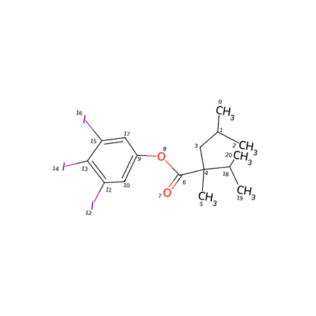 CC(C)CC(C)(C(=O)Oc1cc(I)c(I)c(I)c1)C(C)C